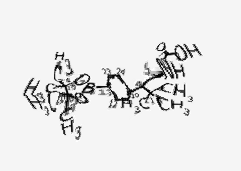 CC(C)(C)C(CNC(=O)O)c1ccc(B2OC(C)(C)C(C)(C)O2)cc1